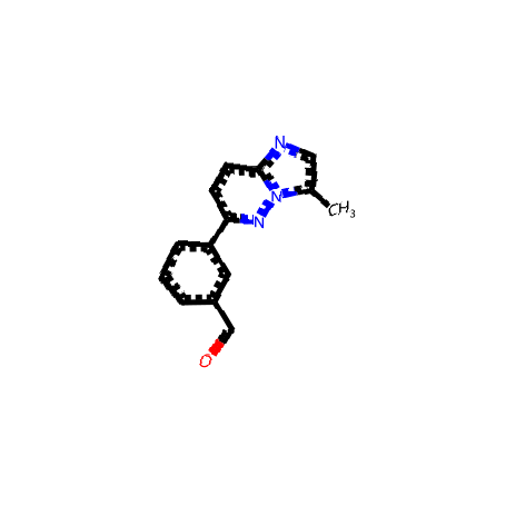 Cc1cnc2ccc(-c3cccc(C=O)c3)nn12